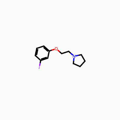 Ic1cccc(OCCN2CCCC2)c1